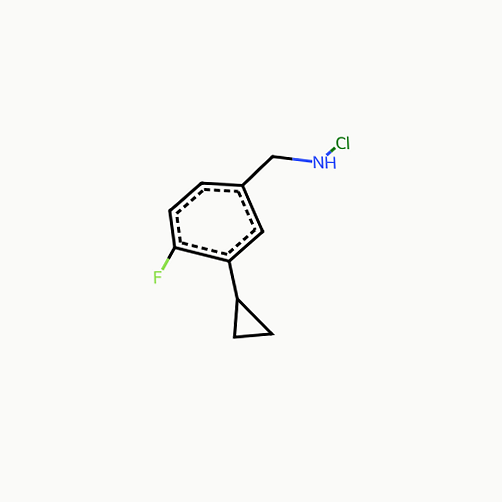 Fc1ccc(CNCl)cc1C1CC1